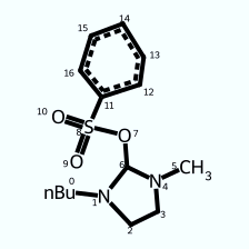 CCCCN1CCN(C)C1OS(=O)(=O)c1ccccc1